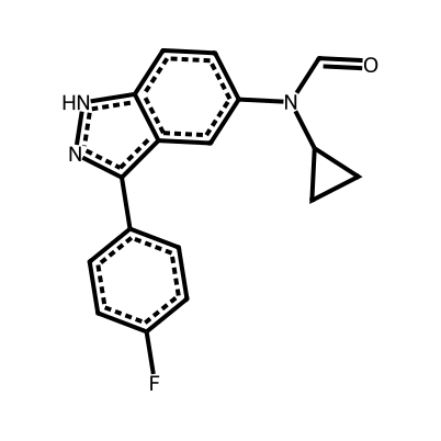 O=CN(c1ccc2[nH]nc(-c3ccc(F)cc3)c2c1)C1CC1